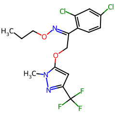 CCCO/N=C(\COc1cc(C(F)(F)F)nn1C)c1ccc(Cl)cc1Cl